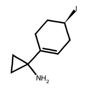 NC1(C2=CC[C@H](I)CC2)CC1